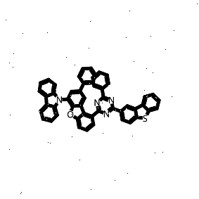 c1ccc(-c2cc(-n3c4ccccc4c4ccccc43)c3oc4cccc(-c5nc(-c6ccccc6)nc(-c6ccc7sc8ccccc8c7c6)n5)c4c3c2)cc1